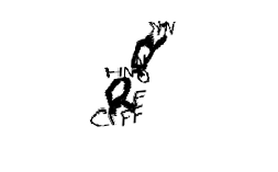 O=C(Nc1ccc(Cl)c(C(F)(F)F)c1)N1C2CCC1c1cncnc1C2